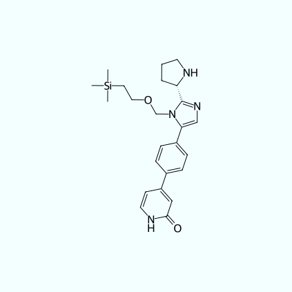 C[Si](C)(C)CCOCn1c(-c2ccc(-c3cc[nH]c(=O)c3)cc2)cnc1[C@@H]1CCCN1